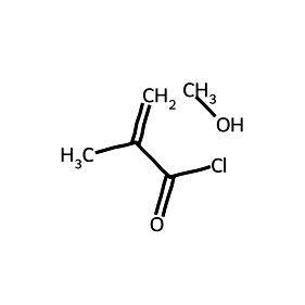 C=C(C)C(=O)Cl.CO